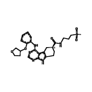 CS(=O)(=O)CCCNC(=O)[C@H]1CCc2[nH]c3ncnc(Nc4ccccc4OC4CCOC4)c3c2C1